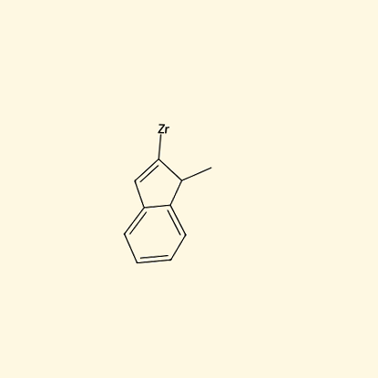 CC1[C]([Zr])=Cc2ccccc21